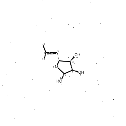 CC(C)=C[C@H]1OC(O)[C@H](O)[C@@H]1O